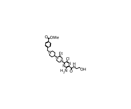 CC[C@H]1CN(c2nc(N)c(C(=O)NCCO)nc2Cl)CCN1C1CCN(Cc2ccc(C(=O)OC)cc2)CC1